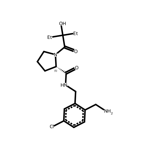 CCC(O)(CC)C(=O)N1CCC[C@H]1C(=O)NCc1cc(Cl)ccc1CN